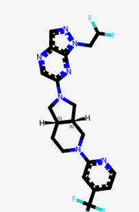 FC(F)Cn1ncc2ncc(N3C[C@H]4CCN(c5cc(C(F)(F)F)ccn5)C[C@H]4C3)nc21